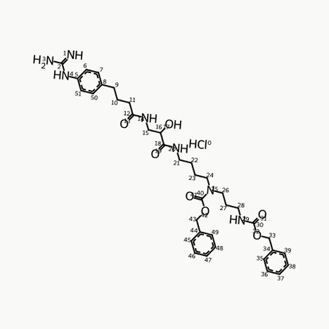 Cl.N=C(N)Nc1ccc(CCCC(=O)NCC(O)C(=O)NCCCCN(CCCNC(=O)OCc2ccccc2)C(=O)OCc2ccccc2)cc1